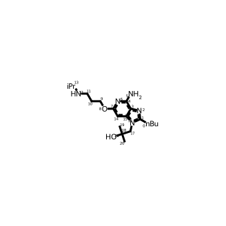 CCCCc1nc2c(N)nc(OCCCNC(C)C)cc2n1CC(C)(C)O